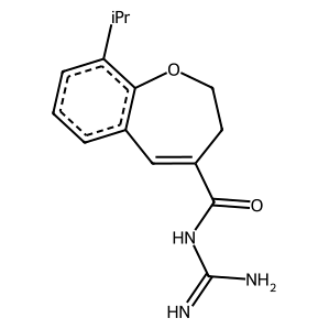 CC(C)c1cccc2c1OCCC(C(=O)NC(=N)N)=C2